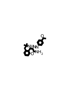 CC(=O)c1ccc(/N=N/C(C(N)=O)=C2\NC(C)(C)Cc3ccccc32)cc1